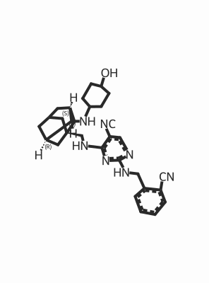 N#Cc1ccccc1CNc1ncc(C#N)c(NC[C@]23CC4C[C@H](C2)[C@@H](NC2CCC(O)CC2)[C@@H](C4)C3)n1